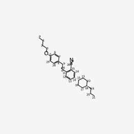 CCCCOc1ccc(CSc2ccc([C@H]3CC[C@H](CCC)CC3)cc2C#N)cc1